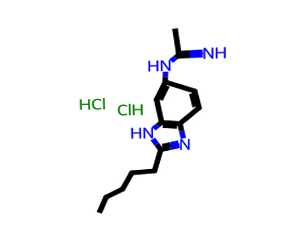 CCCCCc1nc2ccc(NC(C)=N)cc2[nH]1.Cl.Cl